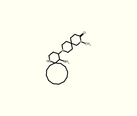 CN1CC2(CCC1=O)CCN(C1CCNC3(CCCCCCCCCCC3)C1N)CC2